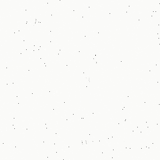 O=[N+]([O-])c1ccc2nn(-c3cc(O)c(Cl)cc3O)cc2c1